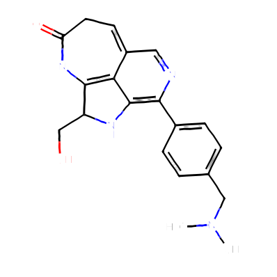 CN(C)Cc1ccc(-c2ncc3c4c2NC(CO)C=4NC(=O)CC=3)cc1